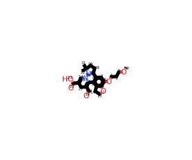 COCCCOc1cc2c(c3c1OCC3)C1=C(C=O)CC(C(=O)O)=CN1N1C2CCC1(C)C